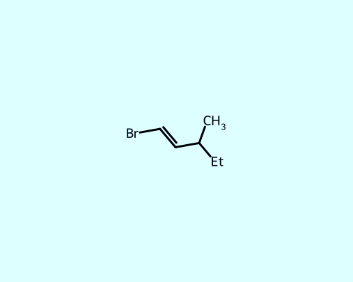 CCC(C)/C=C/Br